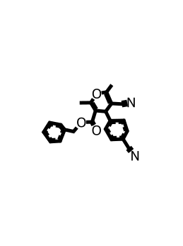 CC1=C(C#N)C(c2ccc(C#N)cc2)C(C(=O)OCc2ccccc2)=C(C)O1